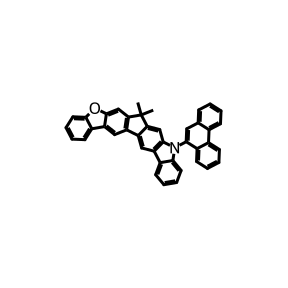 CC1(C)c2cc3oc4ccccc4c3cc2-c2cc3c4ccccc4n(-c4cc5ccccc5c5ccccc45)c3cc21